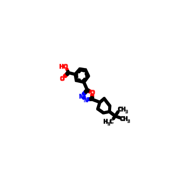 CC(C)(C)C1CCC(c2nnc(-c3cccc(C(=O)O)c3)o2)CC1